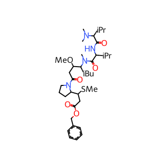 CCC(C)C(C(CC(=O)N1CCCC1C(CC(=O)OCc1ccccc1)SC)OC)N(C)C(=O)C(NC(=O)C(C(C)C)N(C)C)C(C)C